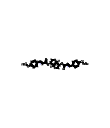 CCCCOc1ccc(/C=C/C(=O)O[C@H]2CO[C@@H]3[C@H]2OC[C@H]3OC(=O)/C=C/c2ccc(OCCCC)cc2)cc1